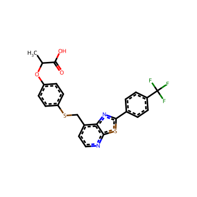 CC(Oc1ccc(SCc2ccnc3sc(-c4ccc(C(F)(F)F)cc4)nc23)cc1)C(=O)O